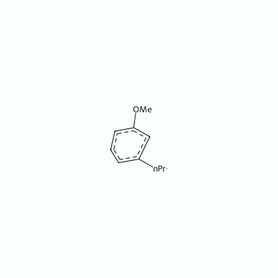 CC[CH]c1cccc(OC)c1